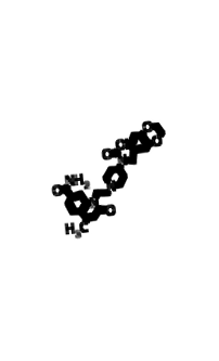 Cc1cc(=O)n(CCN2CCC(N(Cc3ccc4c(c3)OCCO4)C(=O)O)CC2)c2cc(C(N)=O)ccc12